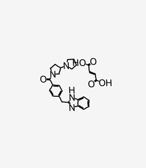 O=C(O)C=CC(=O)O.O=C(c1ccc(Cc2nc3ccccc3[nH]2)cc1)N1CCC(N2CCCC2)C1